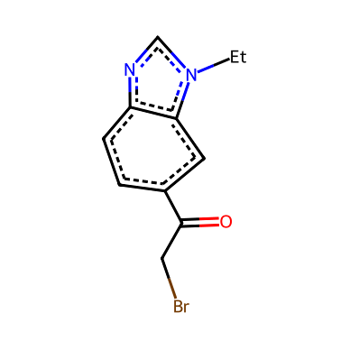 CCn1cnc2ccc(C(=O)CBr)cc21